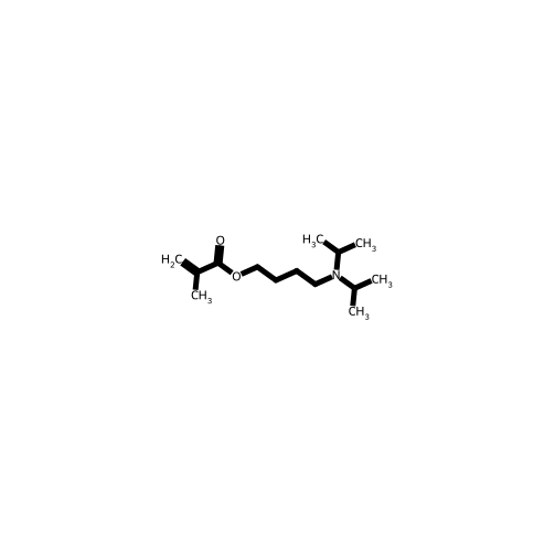 C=C(C)C(=O)OCCCCN(C(C)C)C(C)C